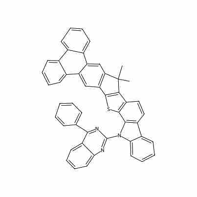 CC1(C)c2cc3c4ccccc4c4ccccc4c3cc2-c2sc3c(ccc4c5ccccc5n(-c5nc(-c6ccccc6)c6ccccc6n5)c43)c21